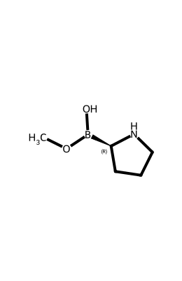 COB(O)[C@@H]1CCCN1